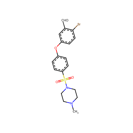 CN1CCN(S(=O)(=O)c2ccc(Oc3ccc(Br)c(C=O)c3)cc2)CC1